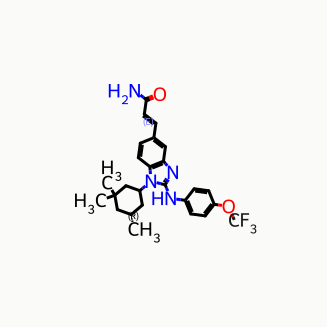 C[C@H]1CC(n2c(Nc3ccc(OC(F)(F)F)cc3)nc3cc(/C=C/C(N)=O)ccc32)CC(C)(C)C1